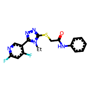 CCn1c(SCC(=O)Nc2ccccc2)nnc1-c1cnc(F)cc1F